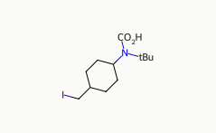 CC(C)(C)N(C(=O)O)C1CCC(CI)CC1